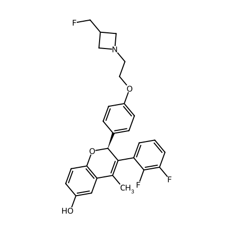 CC1=C(c2cccc(F)c2F)[C@H](c2ccc(OCCN3CC(CF)C3)cc2)Oc2ccc(O)cc21